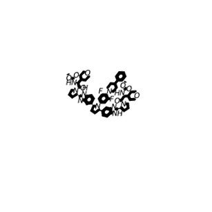 COC(=O)NC(C(=O)N1CCC[C@H]1c1nc2cc([C@H]3CC[C@H](c4ccc5[nH]c([C@@H]6CCCN6C(=O)[C@@H](NC(=O)OC)C6CCOCC6)nc5c4)N3c3cc(F)c(N4CCC(c5ccccc5)CC4)c(F)c3)ccc2[nH]1)C1CCOCC1